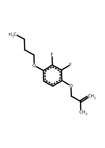 C=C(C)COc1ccc(OCCCC)c(F)c1F